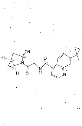 CC1(c2ccc3c(C(=O)NCC(=O)N4[C@H](C#N)C[C@@H]5C[C@@H]54)ccnc3c2)CC1